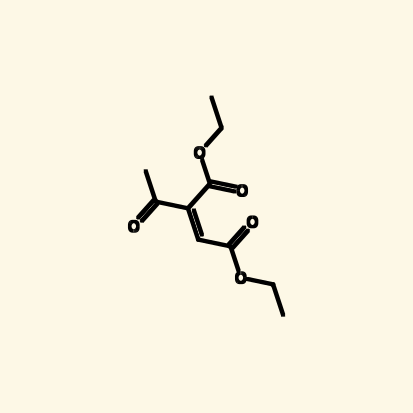 CCOC(=O)/C=C(/C(C)=O)C(=O)OCC